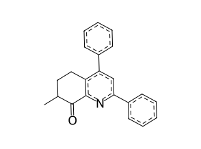 CC1CCc2c(-c3ccccc3)cc(-c3ccccc3)nc2C1=O